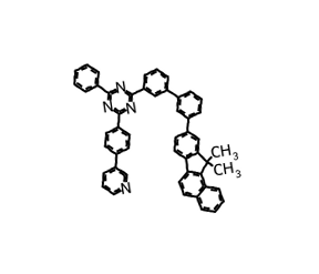 CC1(C)c2cc(-c3cccc(-c4cccc(-c5nc(-c6ccccc6)nc(-c6ccc(-c7cccnc7)cc6)n5)c4)c3)ccc2-c2ccc3ccccc3c21